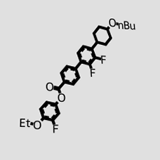 CCCCOC1CCC(c2ccc(-c3ccc(C(=O)Oc4ccc(OCC)c(F)c4)cc3)c(F)c2F)CC1